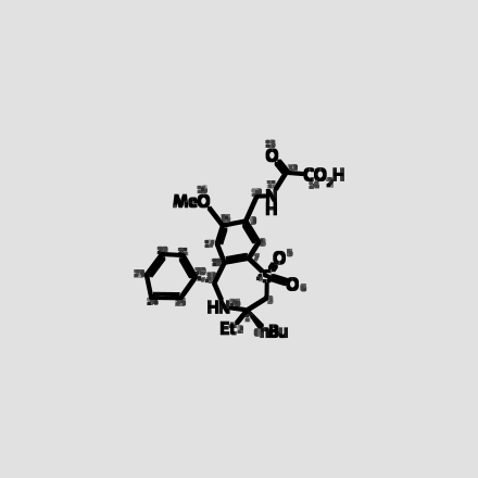 CCCC[C@]1(CC)CS(=O)(=O)c2cc(CNC(=O)C(=O)O)c(OC)cc2[C@@H](c2ccccc2)N1